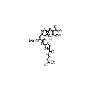 CCN(CC)CC=CC(=O)N1CC[C@H](Oc2cc3c(Nc4ccc(F)c(Cl)c4F)ncnc3cc2OC)C1